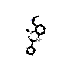 C=Nc1c(/C=C\C)cccc1NC(=S)c1cccs1